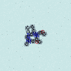 c1ccc(-c2ccc3c(c2)c2c4c5cc(-c6ccccc6)ccc5n(-c5nc(-c6ccc7oc8ccccc8c7c6)nc(-c6ccc7oc8ccccc8c7c6)n5)c4ccc2n3-c2cccc(-c3nc(-c4ccccc4)nc(-c4ccccc4)n3)n2)cc1